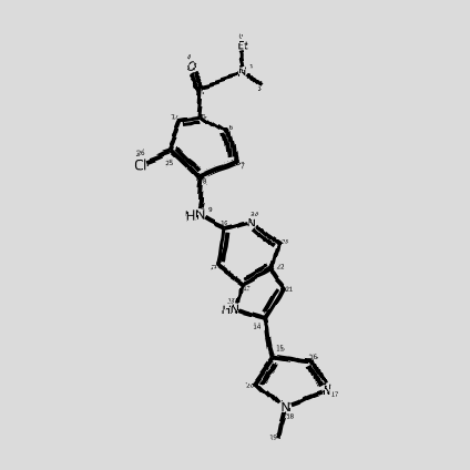 CCN(C)C(=O)c1ccc(Nc2cc3[nH]c(-c4cnn(C)c4)cc3cn2)c(Cl)c1